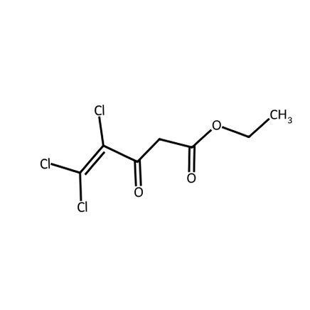 CCOC(=O)CC(=O)C(Cl)=C(Cl)Cl